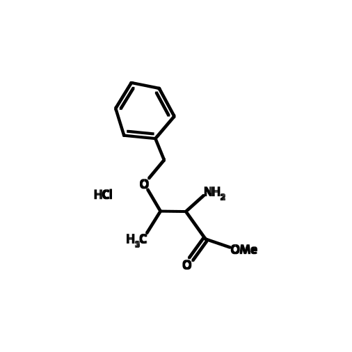 COC(=O)C(N)C(C)OCc1ccccc1.Cl